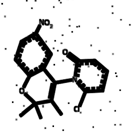 CC1=C(n2c(Cl)cccc2=O)c2cc([N+](=O)[O-])ccc2OC1(C)C